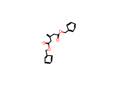 C=C(CC(=O)OCc1ccccc1)CC(=O)OCc1ccccc1